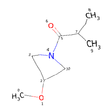 COC1CN(C(=O)C(C)C)C1